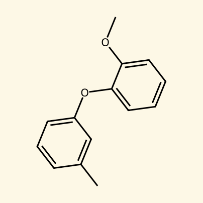 COc1ccccc1Oc1cccc(C)c1